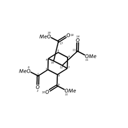 COC(=O)C1C2CCC(C1C(=O)OC)C(C(=O)OC)C2C(=O)OC